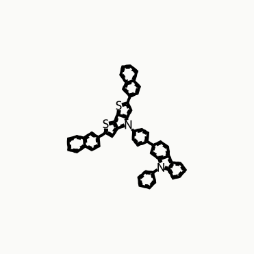 c1ccc(-n2c3ccccc3c3ccc(-c4ccc(-n5c6cc(-c7ccc8ccccc8c7)sc6c6sc(-c7ccc8ccccc8c7)cc65)cc4)cc32)cc1